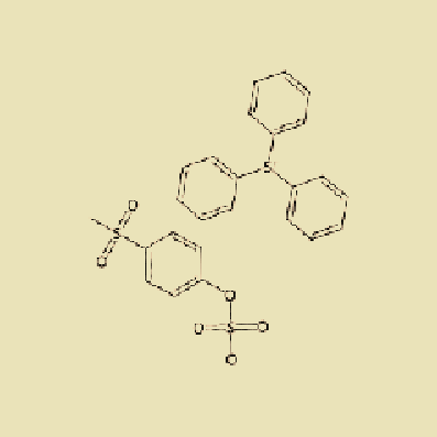 CS(=O)(=O)c1ccc(OS(=O)(=O)[O-])cc1.c1ccc([S+](c2ccccc2)c2ccccc2)cc1